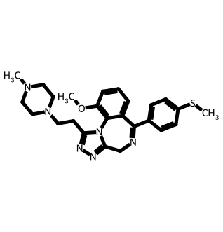 COc1cccc2c1-n1c(CCN3CCN(C)CC3)nnc1CN=C2c1ccc(SC)cc1